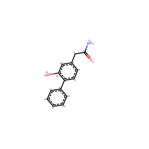 NC(=O)Cc1ccc(-c2ccccc2)c(O)c1